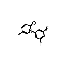 Cc1ccc(=O)n(-c2cc(F)cc(F)c2)c1